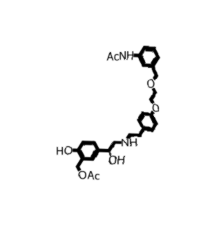 CC(=O)Nc1cccc(COCCOc2ccc(CCNC[C@H](O)c3ccc(O)c(COC(C)=O)c3)cc2)c1